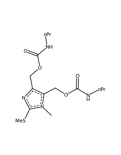 CCCNC(=O)OCc1nc(SC)n(C)c1COC(=O)NCCC